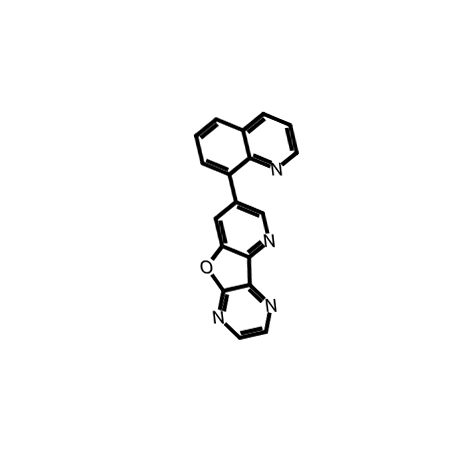 c1cnc2c(-c3cnc4c(c3)oc3nccnc34)cccc2c1